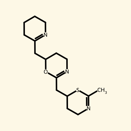 CC1=NCCC(CC2=NCCC(CC3=NCCCC3)O2)S1